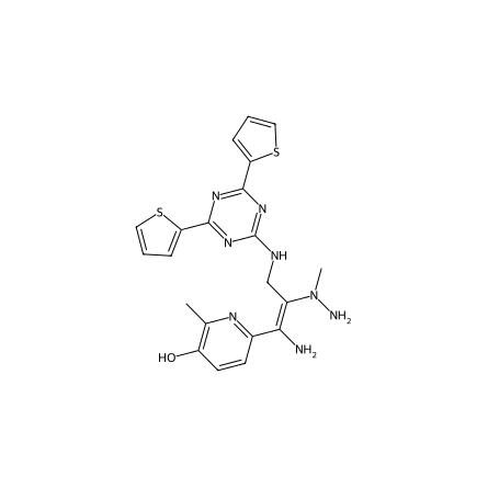 Cc1nc(/C(N)=C(\CNc2nc(-c3cccs3)nc(-c3cccs3)n2)N(C)N)ccc1O